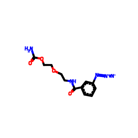 [N-]=[N+]=Nc1cccc(C(=O)NCCOCCOC(N)=O)c1